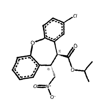 CC(C)OC(=O)[C@@H]1c2cc(Cl)ccc2Oc2ccccc2[C@H]1C[N+](=O)[O-]